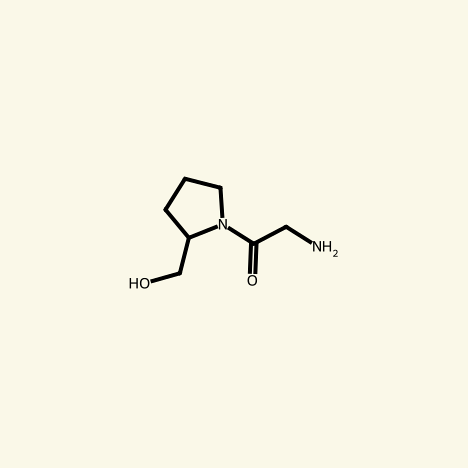 NCC(=O)N1CCCC1CO